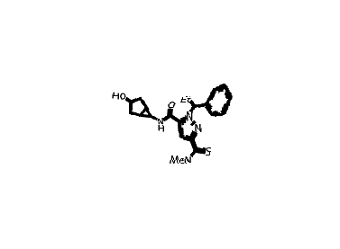 CCC(c1ccccc1)n1nc(C(=S)NC)cc1C(=O)NC1C2CC(O)CC21